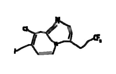 FC(F)(F)Cc1cnc2c(Cl)c(I)ccn12